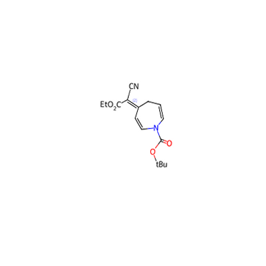 CCOC(=O)/C(C#N)=C1\C=CN(C(=O)OC(C)(C)C)C=CC1